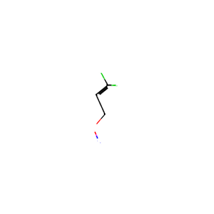 NOCC=C(Cl)Cl